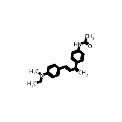 C=C(/C=C/c1ccc(N(C)CC)cc1)c1ccc(NC(C)=O)cc1